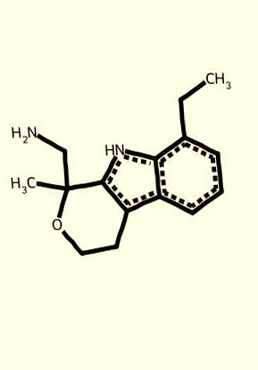 CCc1cccc2c3c([nH]c12)C(C)(CN)OCC3